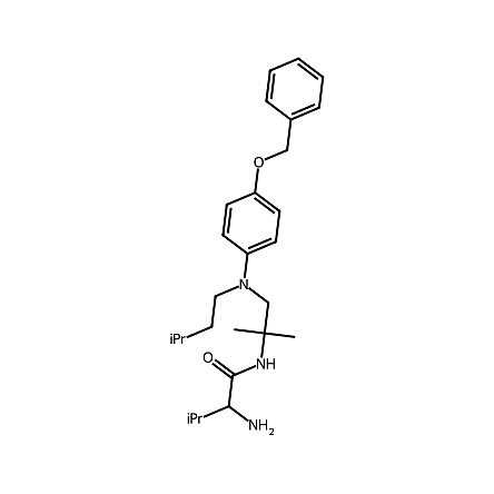 CC(C)CCN(CC(C)(C)NC(=O)C(N)C(C)C)c1ccc(OCc2ccccc2)cc1